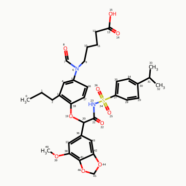 CCCc1cc(N(C=O)CCCCC(=O)O)ccc1OC(C(=O)NS(=O)(=O)c1ccc(C(C)C)cc1)c1cc(OC)c2c(c1)OCO2